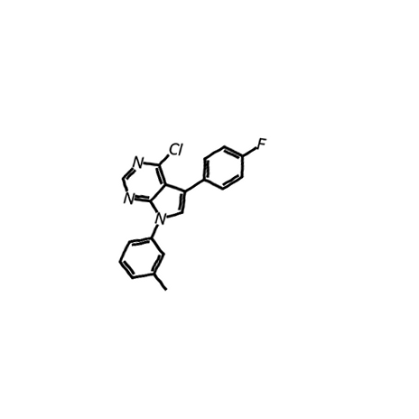 Cc1cccc(-n2cc(-c3ccc(F)cc3)c3c(Cl)ncnc32)c1